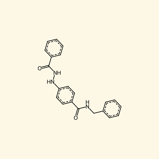 O=C(NCc1ccccc1)c1ccc(NNC(=O)c2ccccc2)cc1